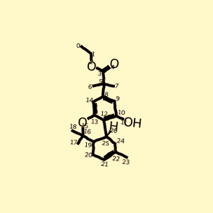 CCOC(=O)C(C)(C)c1cc(O)c2c(c1)OC(C)(C)C1CC=C(C)C[C@@H]21